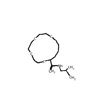 C=C(NCC(C)C)C1CCCCCCCCCCCCCC1